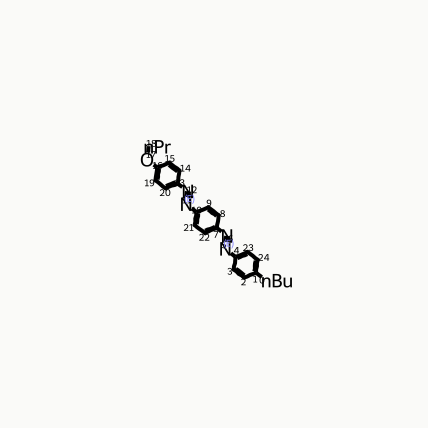 CCCCc1ccc(/N=N/c2ccc(/N=N/c3ccc(OCCC)cc3)cc2)cc1